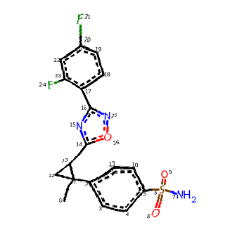 CC1(c2ccc(S(N)(=O)=O)cc2)CC1c1nc(-c2ccc(F)cc2F)no1